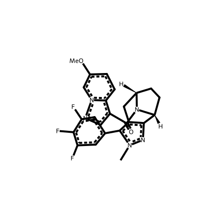 COc1ccc2c(C(=O)N3[C@H]4CC[C@@H]3c3nn(C)c(-c5cc(F)c(F)c(F)c5)c3C4)cnn2c1